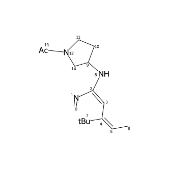 C=N/C(=C\C(=C/C)C(C)(C)C)NC1CCN(C(C)=O)C1